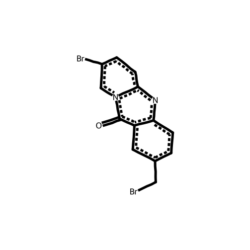 O=c1c2cc(CBr)ccc2nc2ccc(Br)cn12